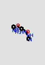 Nc1ccccc1NC(=O)c1ccc(CNC(=O)CNc2cccnc2)cc1